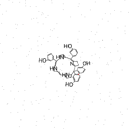 Oc1cccc(/C2=C3\CCC(=N3)C(c3cccc(O)c3)(c3cccc(O)c3)c3ccc([nH]3)/C=c3/cc/c([nH]3)=C(\c3cccc(O)c3)c3ccc2[nH]3)c1